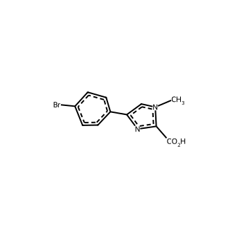 Cn1cc(-c2ccc(Br)cc2)nc1C(=O)O